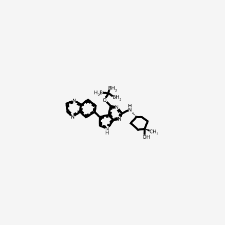 BC(B)(B)Oc1nc(N[C@H]2CC[C@@](C)(O)CC2)nc2[nH]cc(-c3ccc4nccnc4c3)c12